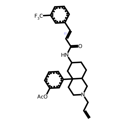 C=CCN1CCC2(c3cccc(OC(C)=O)c3)CC(NC(=O)/C=C/c3cccc(C(F)(F)F)c3)CCC2C1